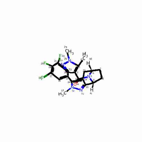 Cc1c(C(=O)N2[C@H]3CC[C@@H]2c2nn(C)c(-c4cc(F)c(F)c(F)c4)c2C3)cnn1C